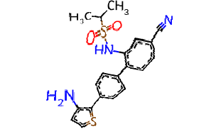 CC(C)S(=O)(=O)Nc1cc(C#N)ccc1-c1ccc(-c2sccc2N)cc1